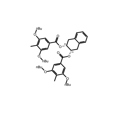 CCCCOc1cc(C(=O)O[C@H]2Cc3ccccc3C[C@H]2OC(=O)c2cc(OCCCC)c(C)c(OCCCC)c2)cc(OCCCC)c1C